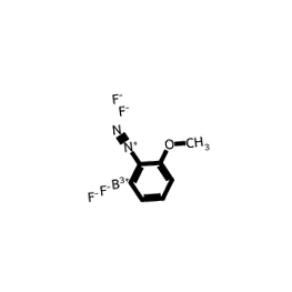 COc1ccccc1[N+]#N.[B+3].[F-].[F-].[F-].[F-]